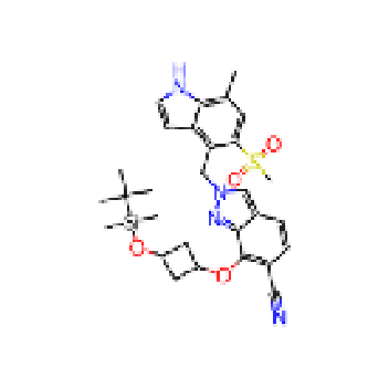 Cc1cc(S(C)(=O)=O)c(Cn2cc3ccc(C#N)c(OC4CC(O[Si](C)(C)C(C)(C)C)C4)c3n2)c2cc[nH]c12